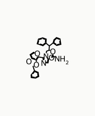 NC(=O)OC(Cn1ccnc1-c1occc(=O)c1OCc1ccccc1)C(c1ccccc1)c1ccccc1